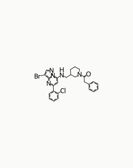 O=C(Cc1ccccc1)N1CCCC(CNc2cc(-c3ccccc3Cl)nc3c(Br)cnn23)C1